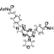 CCn1c(CN(C)Cc2ccc(/C=C/C(=O)NC)cc2)nc2c(N3CCOCC3)nc(-c3ccc(C(N)=O)cc3)nc21